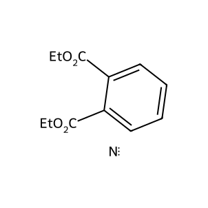 CCOC(=O)c1ccccc1C(=O)OCC.[N]